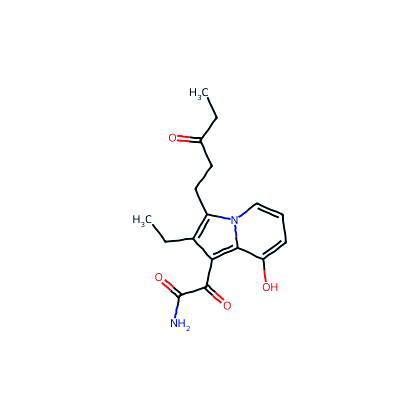 CCC(=O)CCc1c(CC)c(C(=O)C(N)=O)c2c(O)cccn12